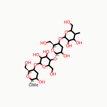 CO[C@@H]1O[C@@H](CO)C(OC2OC(CO)C(O[C@@H]3O[C@@H](CO)C(OC4OC(CO)C(C)C(O)C4O)CC3O)C(O)C2O)CC1O